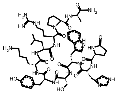 CC(C)C[C@H](NC(=O)[C@@H](CCCCN)NC(=O)[C@H](Cc1ccc(O)cc1)NC(=O)[C@@H](CO)NC(=O)[C@H](Cc1c[nH]c2ccccc12)NC(=O)[C@@H](Cc1c[nH]cn1)NC(=O)[C@@H]1CCC(=O)N1)C(=O)N[C@@H](CCCNC(=N)N)C(=O)N1CCC[C@H]1C(=O)N[C@H](C)C(N)=O